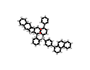 c1ccc(-c2ccc(N(c3ccc(-c4cccc5c4ccc4ccccc45)cc3)c3ccccc3-c3cccc4c3oc3cc5ccccc5cc34)cc2)cc1